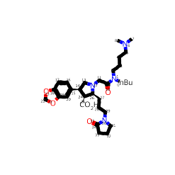 CCCCN(CCCCN(C)C)C(=O)CN1C[C@H](c2ccc3c(c2)OCO3)[C@@H](C(=O)O)[C@@H]1CCCN1CCCC1=O